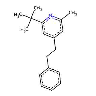 Cc1cc(CCc2ccccc2)cc(C(C)(C)C)n1